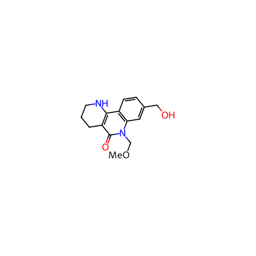 COCn1c(=O)c2c(c3ccc(CO)cc31)NCCC2